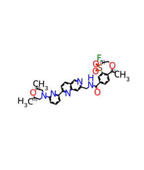 C[C@@H]1CN(c2cccc(-c3ccc4cnc(CNC(=O)c5ccc6c(c5)S(=O)(=O)[C@H](F)CO[C@H]6C)cc4n3)n2)C[C@H](C)O1